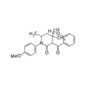 COc1ccc(N2C(=O)C(C(=O)c3ccccc3O)C(C)(C)CC2C)cc1